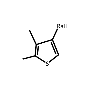 Cc1sc[c]([RaH])c1C